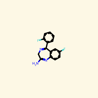 NC1=Nc2ccc(F)cc2C(c2ccccc2F)=NC1